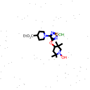 CCOC(=O)C1CCN(c2nsnc2OC2CC(C)(C)N(O)CC2(C)C)CC1.Cl